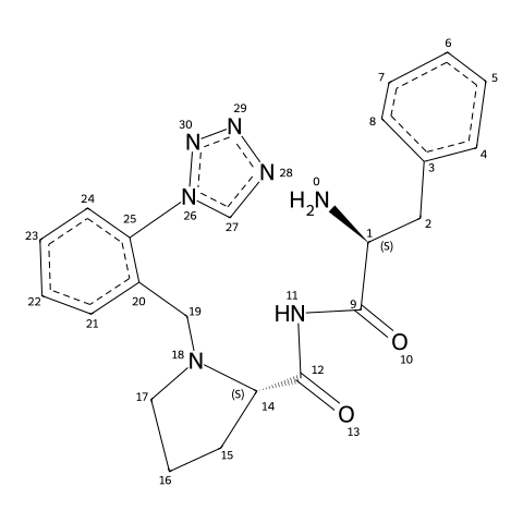 N[C@@H](Cc1ccccc1)C(=O)NC(=O)[C@@H]1CCCN1Cc1ccccc1-n1cnnn1